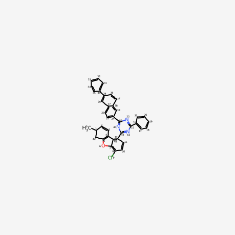 CC1C=Cc2c(oc3c(Cl)ccc(-c4nc(-c5ccccc5)nc(-c5ccc6cc(-c7ccccc7)ccc6c5)n4)c23)C1